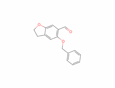 O=Cc1cc2c(cc1OCc1ccccc1)CCO2